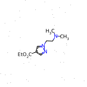 CCOC(=O)c1cnn(CCN(C)C)c1